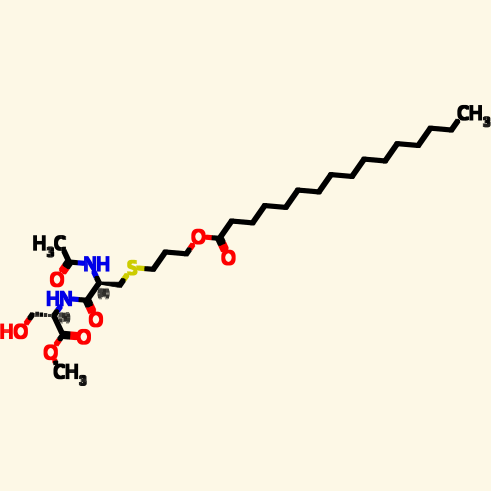 CCCCCCCCCCCCCCCC(=O)OCCCSC[C@H](NC(C)=O)C(=O)N[C@@H](CO)C(=O)OC